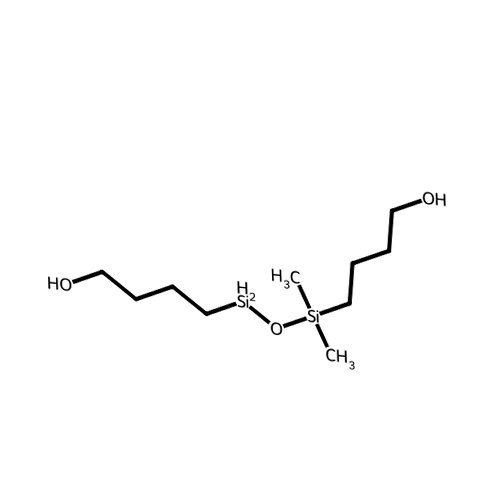 C[Si](C)(CCCCO)O[SiH2]CCCCO